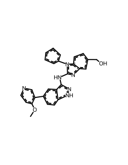 COc1ccncc1-c1ccc2[nH]nc(Nc3nc4cc(CO)ccc4n3-c3ccccc3)c2c1